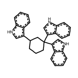 c1ccc2c(C3CCCC(c4c[nH]c5ccccc45)(c4c[nH]c5ccccc45)C3)c[nH]c2c1